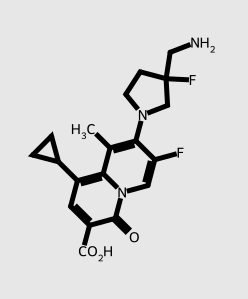 Cc1c(N2CCC(F)(CN)C2)c(F)cn2c(=O)c(C(=O)O)cc(C3CC3)c12